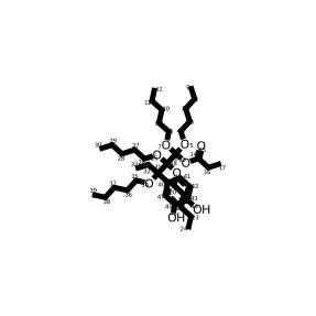 CCCCCOC(OCCCCC)(OC(=O)CC)C(OCCCCC)(OCCCCC)C(CC)(OCCCCC)c1ccc(O)c(O)c1